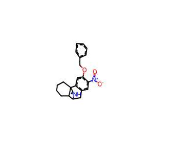 O=[N+]([O-])c1cc2c(cc1OCc1ccccc1)C13CCCCC1C(C2)NCC3